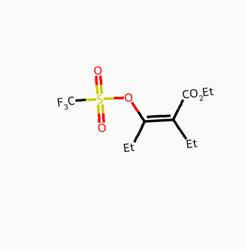 CCOC(=O)/C(CC)=C(/CC)OS(=O)(=O)C(F)(F)F